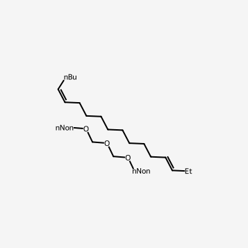 CC/C=C/CCCCCCCC/C=C\CCCC.CCCCCCCCCOCOCOCCCCCCCCC